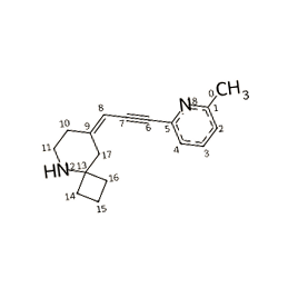 Cc1cccc(C#CC=C2CCNC3(CCC3)C2)n1